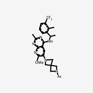 COc1nc2nc(C)nc(NC(C)c3cccc(C(F)(F)F)c3C)c2cc1N1CC2(CN(C(C)=O)C2)C1